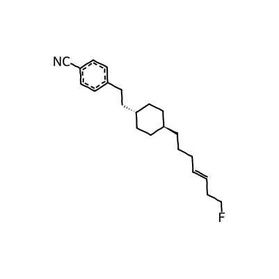 N#Cc1ccc(CC[C@H]2CC[C@H](CCCC=CCCF)CC2)cc1